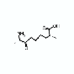 C[C@H](N)C(=O)CCCC[C@@H](C)C(=O)O